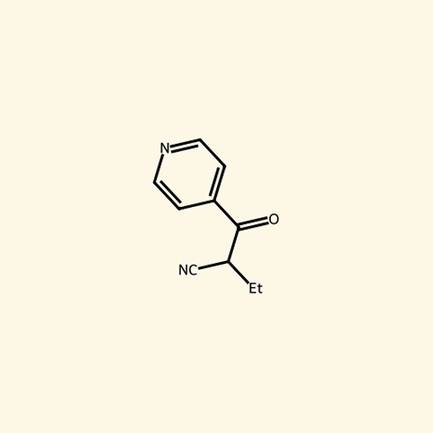 CCC(C#N)C(=O)c1ccncc1